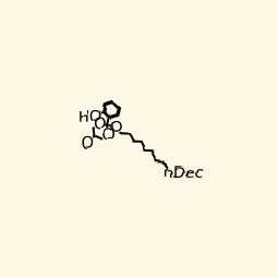 CCCCCCCCCCCCCCCCCCOC1(c2ccccc2O)OCC(=O)CO1